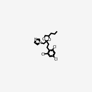 CCCC1COC(CCc2c(Cl)cc(Cl)cc2Cl)(Cn2ccnc2)O1